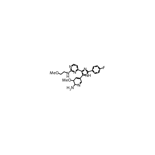 COCCNc1nccc(-c2nc(-c3ccc(F)cc3)[nH]c2C2=CC(OC)C(N)N=C2)n1